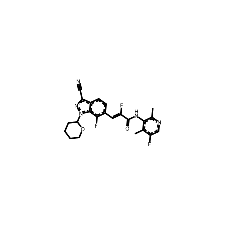 Cc1ncc(F)c(C)c1NC(=O)/C(F)=C/c1ccc2c(C#N)nn(C3CCCCO3)c2c1F